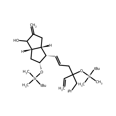 C=CC(C/C=C/[C@H]1[C@H]2CC(=C)C(O)[C@H]2C[C@H]1O[Si](C)(C)C(C)(C)C)(CC(C)C)O[Si](C)(C)C(C)(C)C